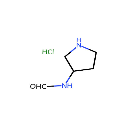 Cl.O=CNC1CCNC1